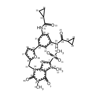 Cn1c(=O)c2c(nc(S(C)(=O)=O)n2C)n(Cc2ccc(-c3cc(NC(=O)C4CC4)cc(NC(=O)C4CC4)c3)o2)c1=O